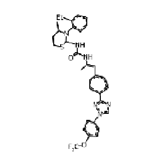 CCc1ccccc1N1C(C)CCSC1NC(=O)N/C(C)=C/c1ccc(-c2ncn(-c3ccc(OC(F)(F)F)cc3)n2)cc1